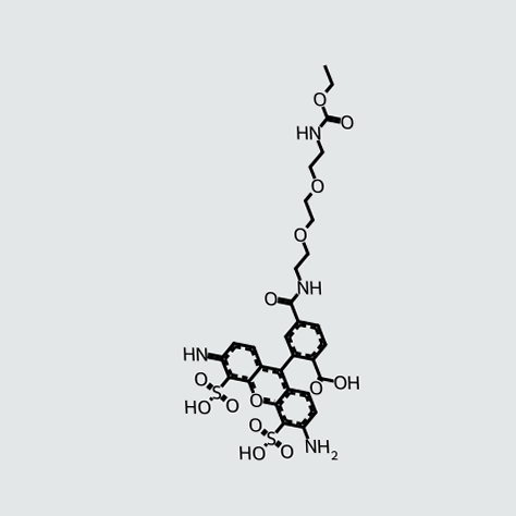 CCOC(=O)NCCOCCOCCNC(=O)c1ccc(C(=O)O)c(-c2c3ccc(=N)c(S(=O)(=O)O)c-3oc3c(S(=O)(=O)O)c(N)ccc23)c1